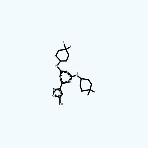 Cc1cc(-c2nc(NC3CCC(F)(F)CC3)nc(NC3CCC(F)(F)CC3)n2)no1